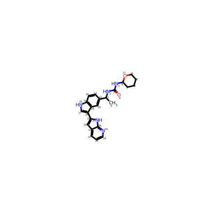 CC(NC(=O)NC1CCCCO1)c1ccc2[nH]cc(-c3cc4cccnc4[nH]3)c2c1